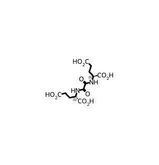 O=C(O)CC[C@H](NC(=O)C(=O)N[C@@H](CCC(=O)O)C(=O)O)C(=O)O